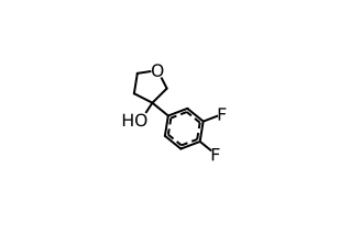 OC1(c2ccc(F)c(F)c2)CCOC1